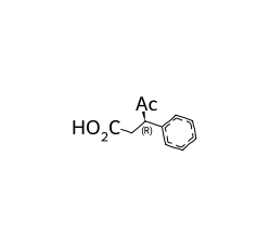 CC(=O)[C@H](CC(=O)O)c1ccccc1